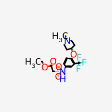 CCOC(=O)CS(=O)(=O)Nc1ccc(OC2CCN(C)CC2)c(C(F)(F)F)c1